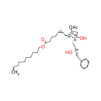 C=CCCCCCCCCOC(=O)CCC/C=C\C[C@@H]1[C@@H](CC[C@@H](O)CCc2ccccc2)[C@H](O)C[C@@H]1OC(C)=O